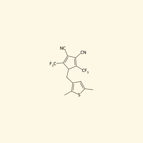 Cc1cc(CC2C(C(F)(F)F)=C(C#N)C(C#N)=C2C(F)(F)F)c(C)s1